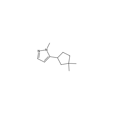 Cn1nccc1C1CCC(C)(C)C1